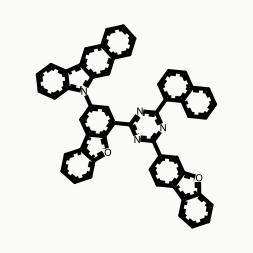 c1ccc2cc3c(cc2c1)c1ccccc1n3-c1cc(-c2nc(-c3ccc4c(c3)oc3ccccc34)nc(-c3cccc4ccccc34)n2)c2oc3ccccc3c2c1